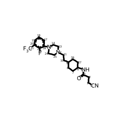 N#CCCC(=O)NC1CCC(CCN2CCN(c3cccc(C(F)(F)F)c3F)CC2)CC1